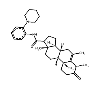 CC1=C2N(C)C(=O)CC[C@]2(C)[C@@H]2CC[C@]3(C)C(C(=O)Nc4ccccc4N4CCCCC4)CC[C@H]3[C@@H]2C1